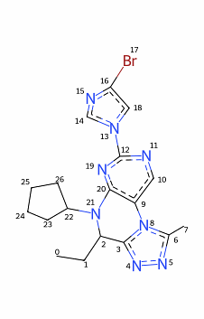 CCC1c2nnc(C)n2-c2cnc(-n3cnc(Br)c3)nc2N1C1CCCC1